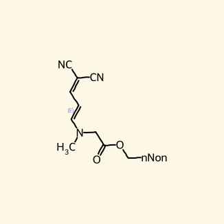 CCCCCCCCCCOC(=O)CN(C)/C=C/C=C(C#N)C#N